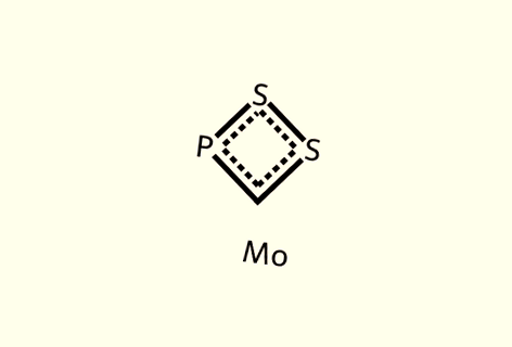 [Mo].c1pss1